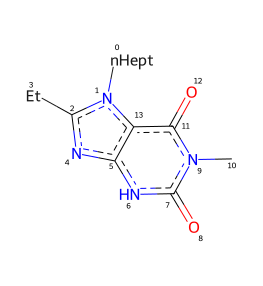 CCCCCCCn1c(CC)nc2[nH]c(=O)n(C)c(=O)c21